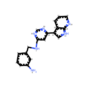 Nc1cccc(CNc2cc(-c3c[nH]c4ncccc34)ncn2)c1